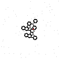 c1ccc(N(c2ccccc2)c2cccc3c4c5ccccc5cc5c6c7c8c9ccccc9cc9c%10ccccc%10n(c7ncc6n(c23)c54)c98)cc1